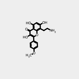 COc1ccc(-c2oc3c(CCN)c(O)cc(O)c3c(=O)c2O)cc1